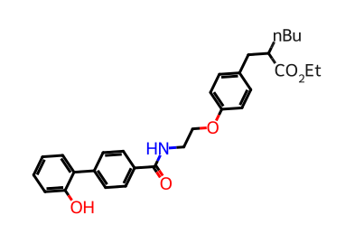 CCCCC(Cc1ccc(OCCNC(=O)c2ccc(-c3ccccc3O)cc2)cc1)C(=O)OCC